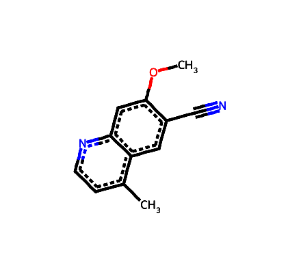 COc1cc2nccc(C)c2cc1C#N